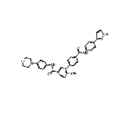 Cc1ccc(C(=O)Nc2ccc(N3CCOCC3)cc2)cc1-c1ccc(C(=O)Nc2ccc(-c3cc[nH]n3)cc2)cc1